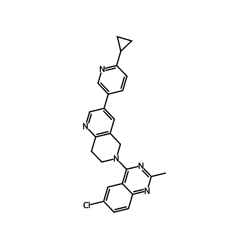 Cc1nc(N2CCc3ncc(-c4ccc(C5CC5)nc4)cc3C2)c2cc(Cl)ccc2n1